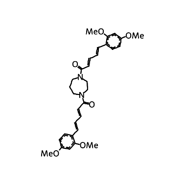 COc1ccc(/C=C/C=C/C(=O)N2CCCN(C(=O)/C=C/C=C/c3ccc(OC)cc3OC)CC2)c(OC)c1